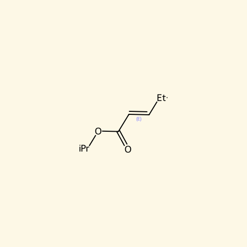 C[CH]/C=C/C(=O)OC(C)C